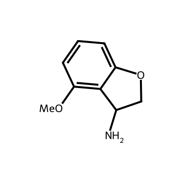 COc1cccc2c1C(N)CO2